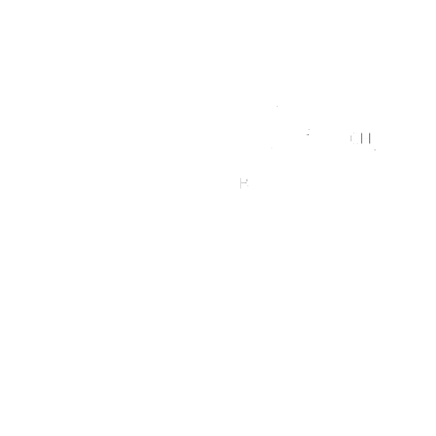 C=C1CC1B(c1ccc2ccccc2c1)c1ccc2ccccc2c1